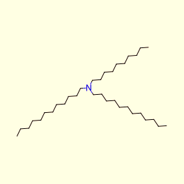 CCCCCCCCCCCCN(CCCCCCCCCC)CCCCCCCCCCCC